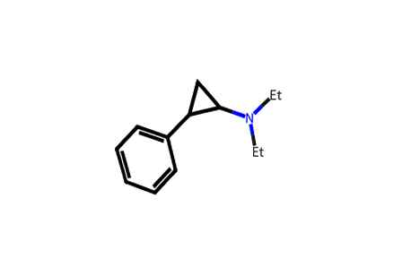 CCN(CC)C1CC1c1ccccc1